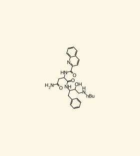 CCCCNCC(O)C(Cc1ccccc1)NC(=O)C(CC(N)=O)NC(=O)c1ccc2ccccc2n1